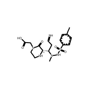 Cc1ccc(S(=O)(=O)NN(C)C(CC=N)[C@@H]2NCCN(CC(=O)O)C2=O)cc1